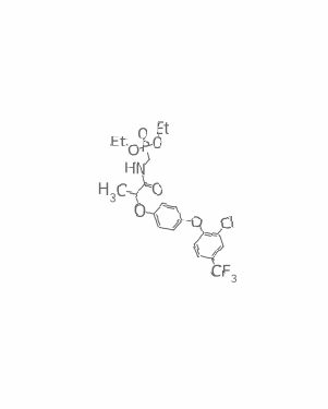 CCOP(=O)(CNC(=O)C(C)Oc1ccc(Oc2ccc(C(F)(F)F)cc2Cl)cc1)OCC